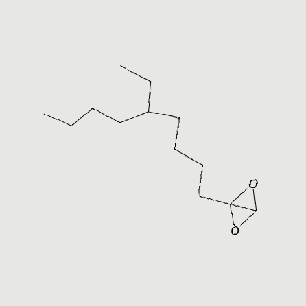 CCCCC(CC)CCCCC12OC1O2